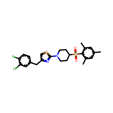 Cc1cc(C)c(S(=O)(=O)C2CCN(c3nc(Cc4ccc(F)c(Cl)c4)cs3)CC2)c(C)c1